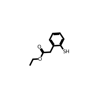 CCOC(=O)Cc1ccccc1S